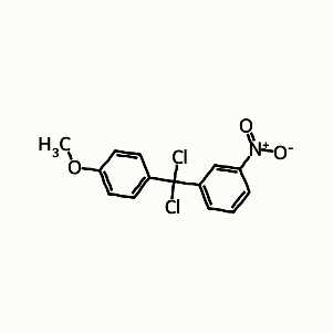 COc1ccc(C(Cl)(Cl)c2cccc([N+](=O)[O-])c2)cc1